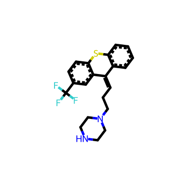 FC(F)(F)c1ccc2c(c1)C(=CCCN1CCNCC1)c1ccccc1S2